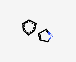 C1=CCN=C1.c1ccccc1